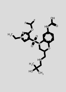 CCn1cc(S(=O)(=O)N2CC(CNCC(C)(C)O)Oc3ccc(NC(=O)O)cc32)c(OC(F)F)n1